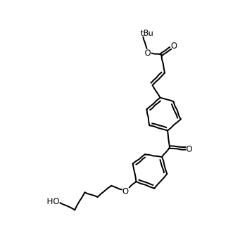 CC(C)(C)OC(=O)C=Cc1ccc(C(=O)c2ccc(OCCCCO)cc2)cc1